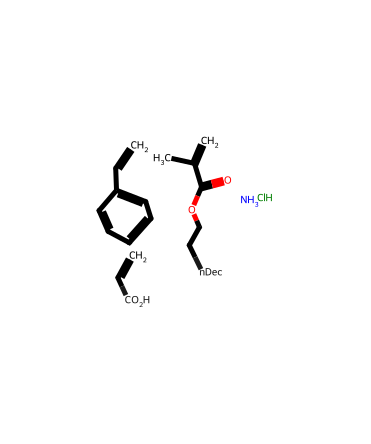 C=C(C)C(=O)OCCCCCCCCCCCC.C=CC(=O)O.C=Cc1ccccc1.Cl.N